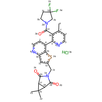 Cc1ccnc(-c2ccnc3cc(CN4C(=O)C5C(C4=O)C5(C)C)sc23)c1C(=O)N1CCC(F)(F)C1.Cl